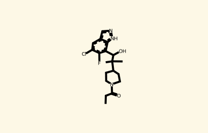 CCC(=O)N1CCC(C(C)(C)C(O)c2c(F)c(Cl)cc3cn[nH]c23)CC1